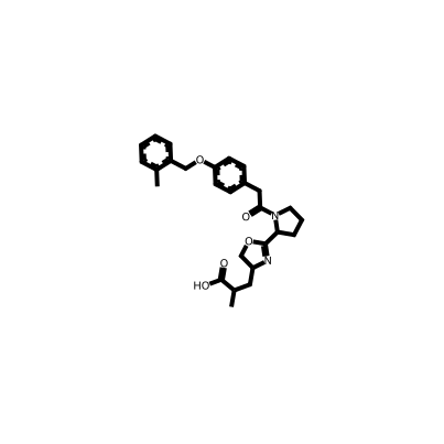 Cc1ccccc1COc1ccc(CC(=O)N2CCCC2C2=NC(CC(C)C(=O)O)CO2)cc1